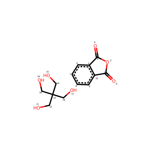 O=C1OC(=O)c2ccccc21.OCC(CO)(CO)CO